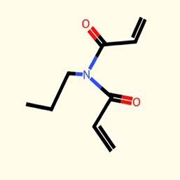 C=CC(=O)N(CCC)C(=O)C=C